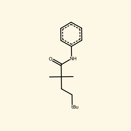 CC(C)(C)CCC(C)(C)C(=O)Nc1ccccc1